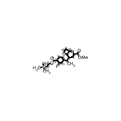 COC(=O)c1cc(C(C)c2ccc(C(=O)OCC[Si](C)(C)C)c(F)c2)c2occc2n1